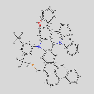 C=PCc1c2ccccc2c(Cc2ccccc2)c2cc3c(cc12)N(c1cc(C(C)(C)C)cc(C(C)(C)C)c1)c1cc2oc4ccccc4c2c2c1B3n1c3ccccc3c3cccc-2c31